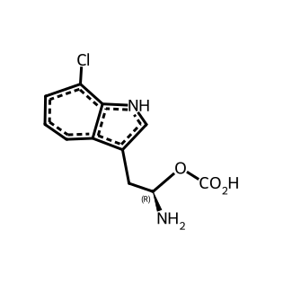 N[C@@H](Cc1c[nH]c2c(Cl)cccc12)OC(=O)O